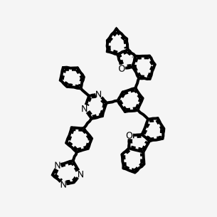 c1ccc(-c2nc(-c3ccc(-c4ncncn4)cc3)cc(-c3cc(-c4cccc5c4oc4ccccc45)cc(-c4cccc5c4oc4ccccc45)c3)n2)cc1